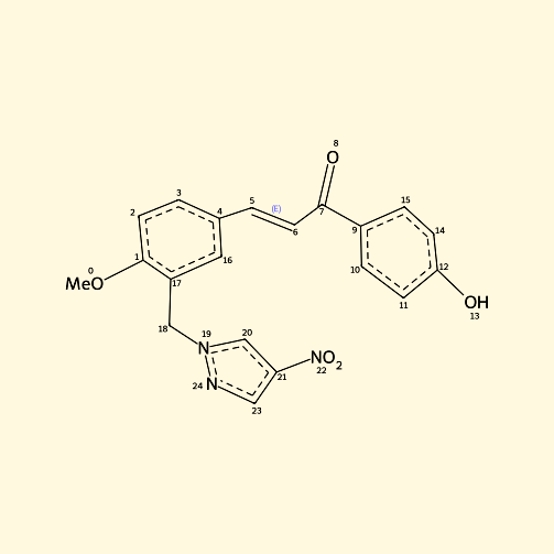 COc1ccc(/C=C/C(=O)c2ccc(O)cc2)cc1Cn1cc([N+](=O)[O-])cn1